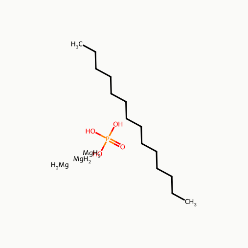 CCCCCCCCCCCCCC.O=P(O)(O)O.[MgH2].[MgH2].[MgH2]